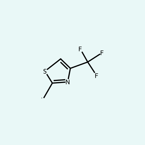 [CH2]c1nc(C(F)(F)F)cs1